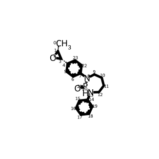 C[C@H]1O[C@H]1c1ccc(N2CCCCN(c3ccccc3)[PH]2=O)cc1